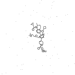 CC1CCc2c(ccc(-c3ncc(C4=CCN(C(=O)OC(C)(C)C)CC4)n3COCC[Si](C)(C)C)c2OC2CCC2)N1C(=O)C1CC1